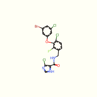 O=C(NCc1ccc(Cl)c(Oc2cc(Cl)cc(Br)c2)c1F)c1[nH]cnc1Cl